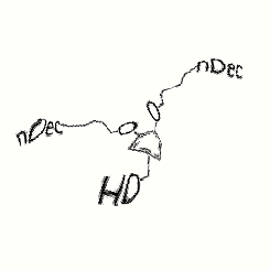 CCCCCCCCCCCCCCOc1ccc(CO)cc1OCCCCCCCCCCCCCC